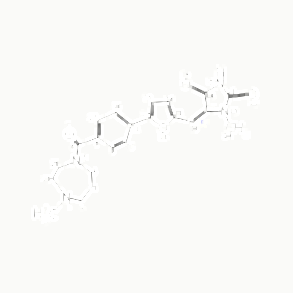 CN1CCCN(C(=O)c2ccc(-c3ccc(/C=C4\C(=O)NC(=O)N4C)o3)cc2)CC1